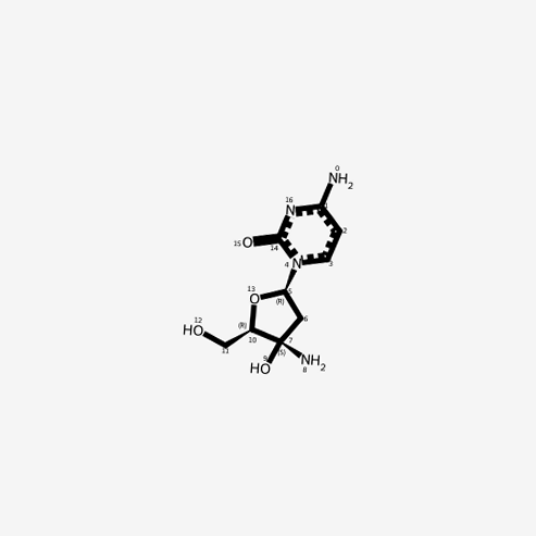 Nc1ccn([C@H]2C[C@](N)(O)[C@@H](CO)O2)c(=O)n1